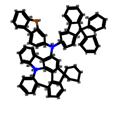 c1ccc(C2(c3ccccc3)c3ccccc3-c3cc(N(c4ccc5c(c4)sc4ccccc45)c4cc5c6c7c4c4ccccc4n7-c4ccccc4-c4cccc(c4-6)C54CCCCC4)ccc32)cc1